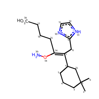 CC1(C)CCCC(C(Cc2ncc[nH]2)=C(CCCC(=O)O)ON)C1